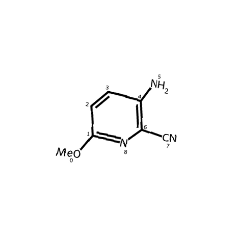 COc1ccc(N)c(C#N)n1